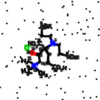 CCCCCCCCCCCCN(CCCCCCCCCCCC)[C@](CCC(=O)O)(C(=O)O)C(=O)C[N+](C)(C)C.[Cl-]